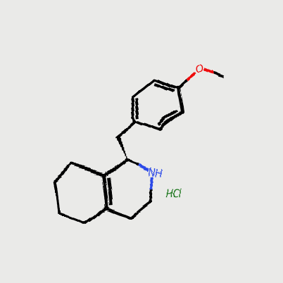 COc1ccc(C[C@H]2NCCC3=C2CCCC3)cc1.Cl